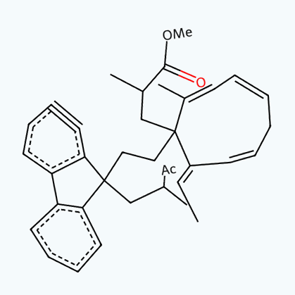 C/C=C1\C=C/CC=C/C=C(\C)C1(CCC1(CC(C)C(C)=O)c2c#cccc2-c2ccccc21)CC(C)C(=O)OC